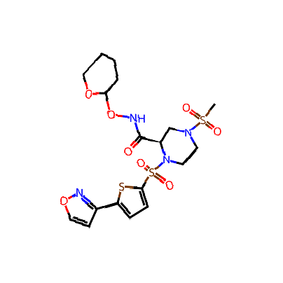 CS(=O)(=O)N1CCN(S(=O)(=O)c2ccc(-c3ccon3)s2)[C@@H](C(=O)NOC2CCCCO2)C1